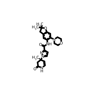 CC1(C)Cc2cc(NC(=O)c3ccn([C@]4(C)C=CNC(=O)C4)n3)c(N3CCOCC3)cc2O1